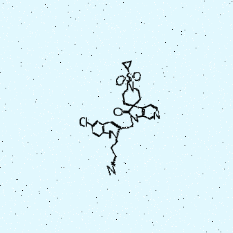 N#CCCCn1c(CN2C(=O)C3(CCN(S(=O)(=O)C4CC4)CC3)c3ccncc32)cc2cc(Cl)ccc21